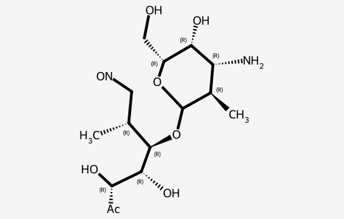 CC(=O)[C@H](O)[C@@H](O)[C@H](OC1O[C@H](CO)[C@H](O)[C@H](N)[C@H]1C)[C@H](C)CN=O